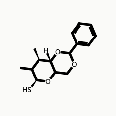 CC1[C@H](S)OC2COC(c3ccccc3)O[C@H]2[C@@H]1C